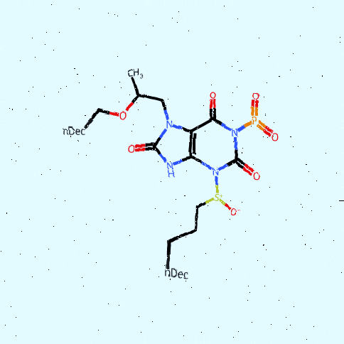 CCCCCCCCCCCCC[S+]([O-])n1c(=O)n(P(=O)=O)c(=O)c2c1[nH]c(=O)n2CC(C)OCCCCCCCCCCC